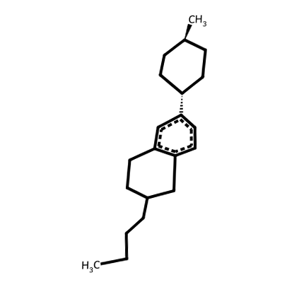 CCCCC1CCc2cc([C@H]3CC[C@H](C)CC3)ccc2C1